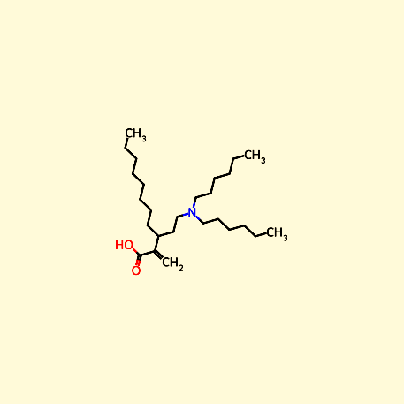 C=C(C(=O)O)C(CCCCCCCC)CCN(CCCCCC)CCCCCC